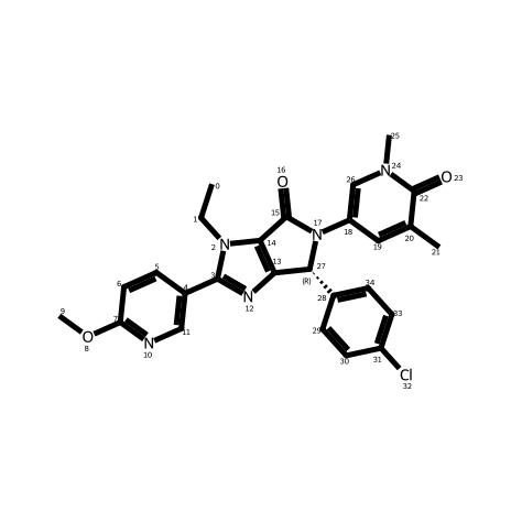 CCn1c(-c2ccc(OC)nc2)nc2c1C(=O)N(c1cc(C)c(=O)n(C)c1)[C@@H]2c1ccc(Cl)cc1